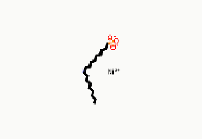 CCCCCCCC/C=C\CCCCCCCCP(=O)([O-])[O-].[Ni+2]